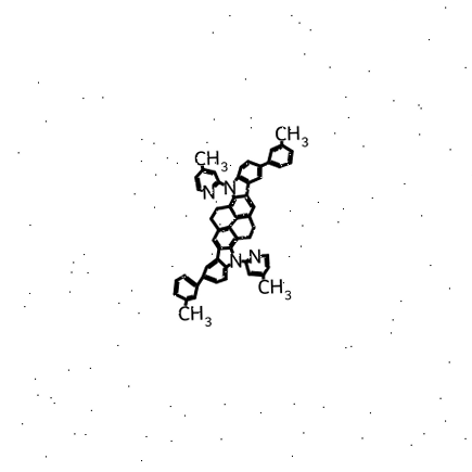 Cc1cccc(-c2ccc3c(c2)c2cc4c5c(c2n3-c2cc(C)ccn2)CCc2cc3c6cc(-c7cccc(C)c7)ccc6n(-c6cc(C)ccn6)c3c(c2-5)CC4)c1